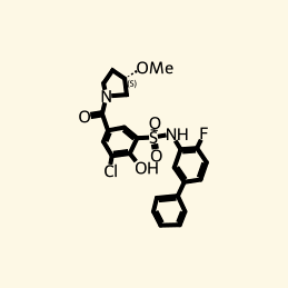 CO[C@H]1CCN(C(=O)c2cc(Cl)c(O)c(S(=O)(=O)Nc3cc(-c4ccccc4)ccc3F)c2)C1